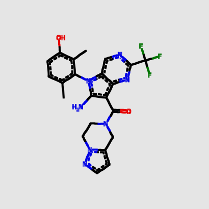 Cc1ccc(O)c(C)c1-n1c(N)c(C(=O)N2CCn3nccc3C2)c2nc(C(F)(F)F)ncc21